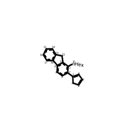 CCCCCCc1c(C2=CC=CC2)ccc2c1Cc1ccccc1-2